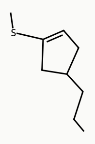 CCCC1CC=C(SC)C1